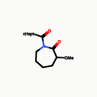 CCCCCCCC(=O)N1CCCCC(OC)C1=O